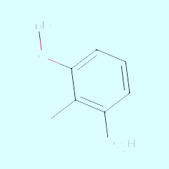 CCCOc1cccc(C(=O)O)c1C